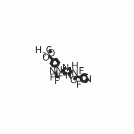 COC(=O)c1ccc2c(c1)nc(C(F)(F)F)n2-c1cnc(NC(=O)c2c(F)cncc2F)cn1